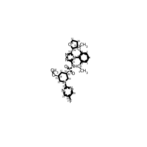 COc1cccc(OC)c1-n1c(NS(=O)(=O)[C@@H]2C[C@H](OC)CN(c3ncc(F)cn3)C2)nnc1[C@@H]1CCCO1